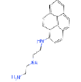 NCCNCCNc1ccc2ccc3cccc4ccc1c2c34